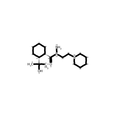 CC(C)(O)[C@@H]1CCCC[C@@H]1C(=O)N(N)CCN1CCCCC1